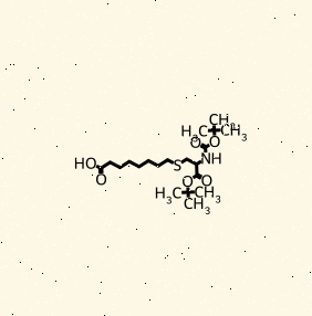 CC(C)(C)OC(=O)NC(CSCCCCCCCC(=O)O)C(=O)OC(C)(C)C